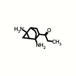 CCC(=O)C1CC2CCC1(N)C1CC21N